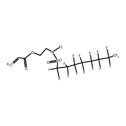 C=CC(=O)OCCN(CC)S(=O)(=O)C(F)(F)C(F)(F)C(F)(F)C(F)(F)C(F)(F)C(F)(F)C(F)(F)C(F)(F)F